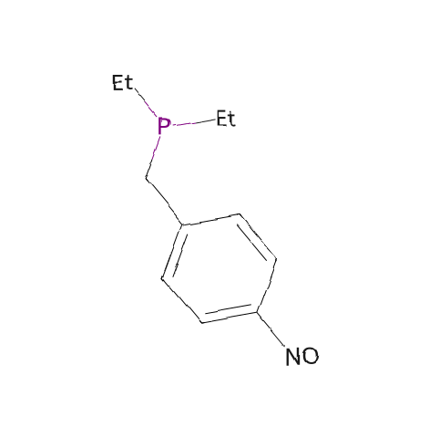 CCP(CC)Cc1ccc(N=O)cc1